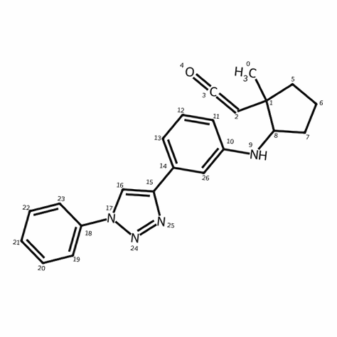 CC1(C=C=O)CCCC1Nc1cccc(-c2cn(-c3ccccc3)nn2)c1